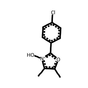 Cc1oc(-c2ccc(Cl)cc2)[n+](O)c1C